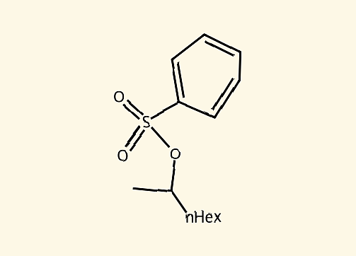 CCCCCCC(C)OS(=O)(=O)c1ccccc1